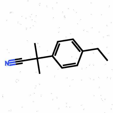 CCc1ccc(C(C)(C)C#N)cc1